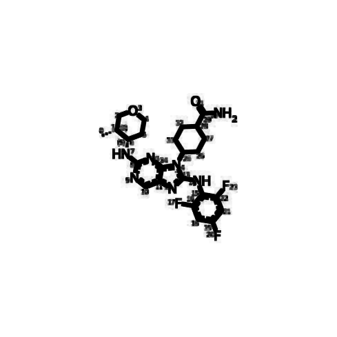 C[C@@H]1COCC[C@@H]1Nc1ncc2nc(Nc3c(F)cc(F)cc3F)n(C3CCC(C(N)=O)CC3)c2n1